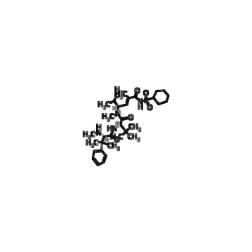 CN[C@H](C(=O)N[C@H](C(=O)N(C)[C@H](C=C(C)C(=O)NS(=O)(=O)C1CCCCC1)C(C)C)C(C)(C)C)C(C)(C)c1ccccc1